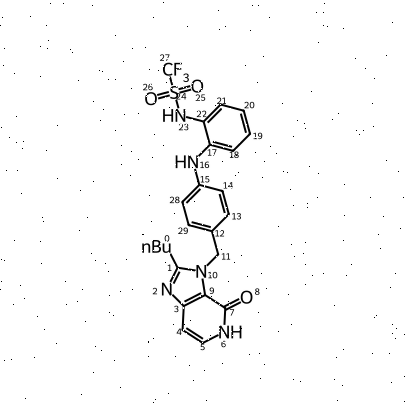 CCCCc1nc2cc[nH]c(=O)c2n1Cc1ccc(Nc2ccccc2NS(=O)(=O)C(F)(F)F)cc1